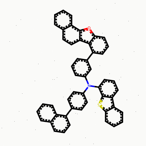 c1cc(-c2cccc3oc4c5ccccc5ccc4c23)cc(N(c2ccc(-c3cccc4ccccc34)cc2)c2cccc3c2sc2ccccc23)c1